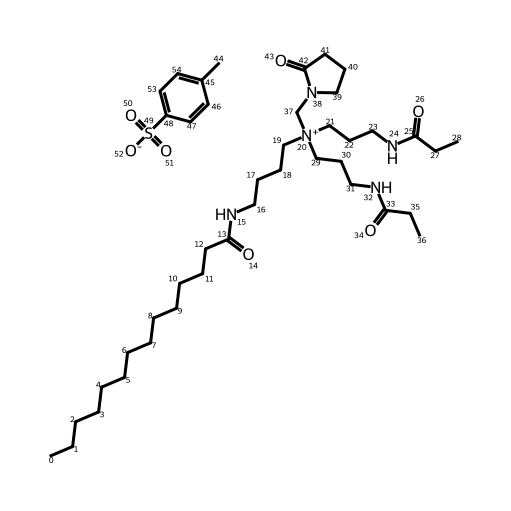 CCCCCCCCCCCCCC(=O)NCCCC[N+](CCCNC(=O)CC)(CCCNC(=O)CC)CN1CCCC1=O.Cc1ccc(S(=O)(=O)[O-])cc1